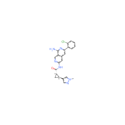 Cn1cc([C@H]2C[C@@H]2C(=O)Nc2cc3cc(-c4ccccc4Cl)nc(N)c3cn2)cn1